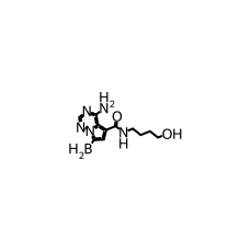 Bc1cc(C(=O)NCCCCO)c2c(N)ncnn12